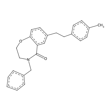 Cc1ccc(CCc2ccc3c(c2)C(=O)N(Cc2ccccc2)CCO3)cc1